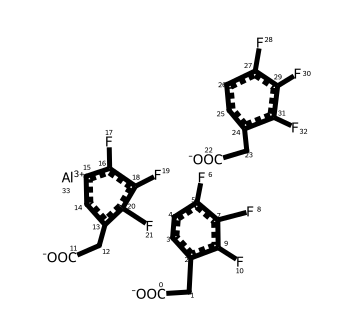 O=C([O-])Cc1ccc(F)c(F)c1F.O=C([O-])Cc1ccc(F)c(F)c1F.O=C([O-])Cc1ccc(F)c(F)c1F.[Al+3]